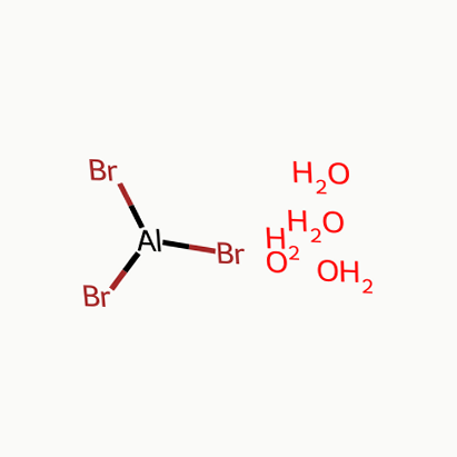 O.O.O.O.[Br][Al]([Br])[Br]